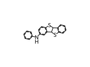 c1ccc(Nc2ccc3c(c2)C2Sc4ccccc4C2S3)cc1